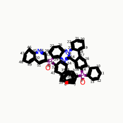 O=P(c1ccccc1)(c1ccccc1)c1ccc2c3ccccc3n3c4cccc(P(=O)(c5ccc6ccccc6c5)c5cnc6ccccc6c5)c4nc3c2c1